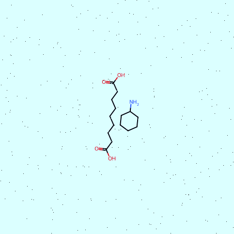 NC1CCCCC1.O=C(O)CCCCCCCC(=O)O